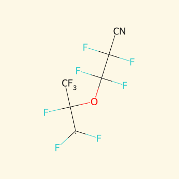 N#CC(F)(F)C(F)(F)OC(F)([C](F)F)C(F)(F)F